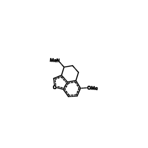 CNC1CCc2c(OC)ccc3occ1c23